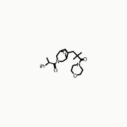 CC(C)C(C)C(=O)N1CC2CC(CC(C)(C)C(=O)N3CCOCC3)C(C1)O2